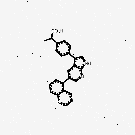 CC(C(=O)O)c1ccc(-c2c[nH]c3ncc(-c4cccc5ncccc45)cc23)cc1